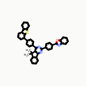 CC1(C)c2ccccc2-c2nc(-c3ccc(-c4nc5ccccc5o4)cc3)nc(-c3ccc(-c4cccc5c4sc4ccccc45)cc3)c21